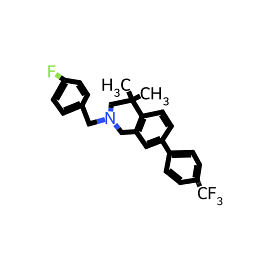 CC1(C)CN(Cc2ccc(F)cc2)Cc2cc(-c3ccc(C(F)(F)F)cc3)ccc21